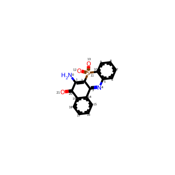 NC1=C2C(=Nc3ccccc3S2(=O)=O)c2ccccc2C1=O